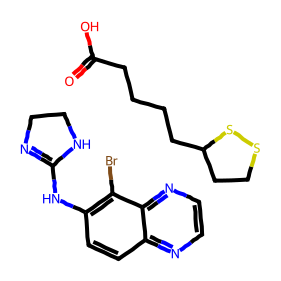 Brc1c(NC2=NCCN2)ccc2nccnc12.O=C(O)CCCCC1CCSS1